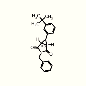 CC(C)(C)c1cccc(C2[C@H]3C(=O)N(Cc4ccccc4)C(=O)[C@@H]23)c1